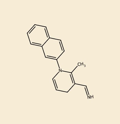 CC1=C(C=N)CC=CN1c1ccc2ccccc2c1